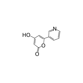 O=c1cc(O)cc(-c2cccnc2)o1